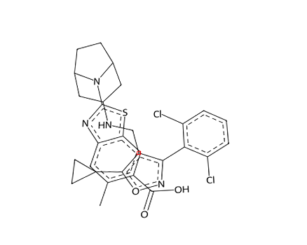 Cc1cc2nc(N3C4CCC3CC(NCc3c(-c5c(Cl)cccc5Cl)noc3C3CC3)C4)sc2cc1C(=O)O